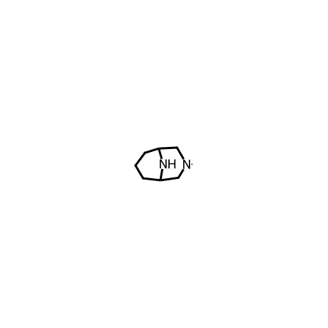 C1CC2C[N]CC(C1)N2